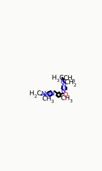 C=C/N=C(\C)N1CCN(Cc2ccc(C)c(C(=O)N3CCN(C(=C)N=C(C)C)CC3)c2)CC1